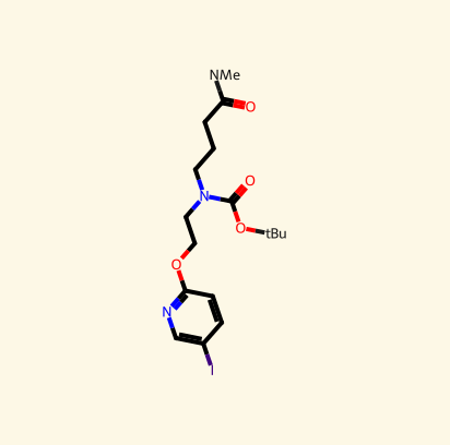 CNC(=O)CCCN(CCOc1ccc(I)cn1)C(=O)OC(C)(C)C